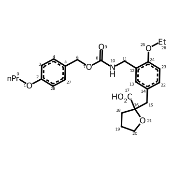 CCCOc1ccc(COC(=O)NCc2cc(CC3(C(=O)O)CCCO3)ccc2OCC)cc1